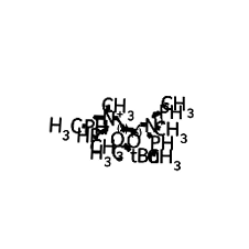 CPC[N+](C)(CPC)C[C@@H]1OC(C)(C(C)(C)C)O[C@H]1C[N+](C)(CPC)CPC